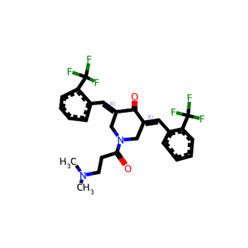 CN(C)CCC(=O)N1C/C(=C\c2ccccc2C(F)(F)F)C(=O)/C(=C/c2ccccc2C(F)(F)F)C1